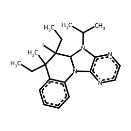 CCC1(C)c2ccccc2N2c3nccnc3N(C(C)C)C2C1(I)CC